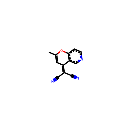 CC1=CC(=C(C#N)C#N)c2cnccc2O1